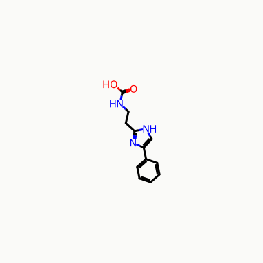 O=C(O)NCCc1nc(-c2ccccc2)c[nH]1